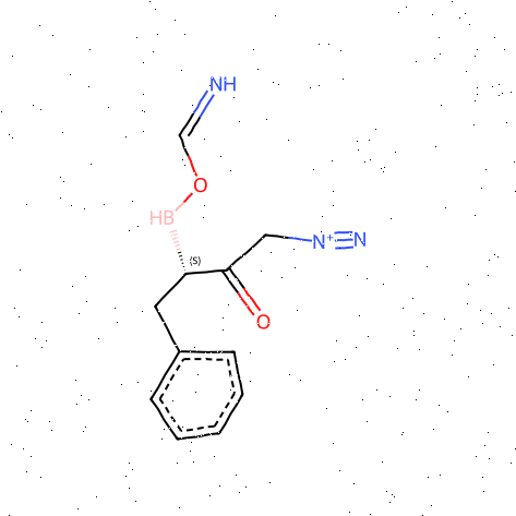 N#[N+]CC(=O)[C@@H](BOC=N)Cc1ccccc1